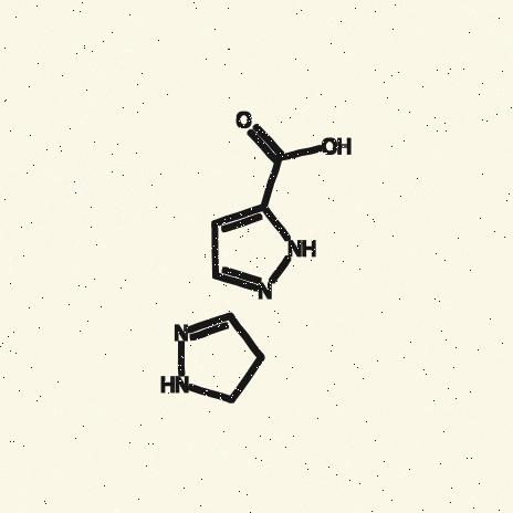 C1=NNCC1.O=C(O)c1ccn[nH]1